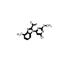 CSc1nc(Cl)cc(-n2c(C(F)F)nc3c(C)cccc32)n1